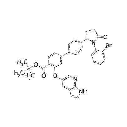 CC(C)(C)OC(=O)c1ccc(-c2ccc(C3CCC(=O)N3c3ccccc3Br)cc2)cc1Oc1cnc2[nH]ccc2c1